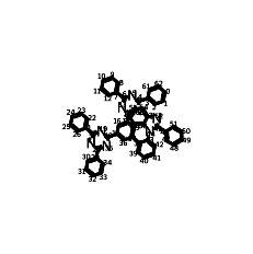 c1ccc(-c2nc(-c3ccccc3)nc(-c3cc(-c4nc(-c5ccccc5)nc(-c5ccccc5)n4)cc(-c4ccccc4-n4c(-c5ccccc5)nc5ccccc54)c3)n2)cc1